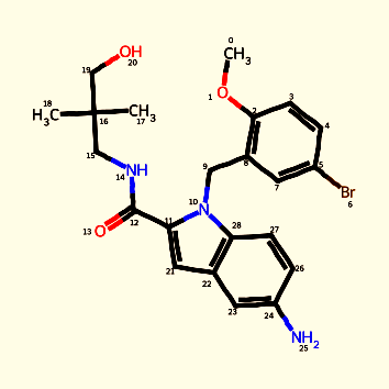 COc1ccc(Br)cc1Cn1c(C(=O)NCC(C)(C)CO)cc2cc(N)ccc21